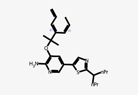 C=C/C=C(\C=C/C)C(C)(C)Oc1cc(-c2cnc(C(CCC)CCC)s2)cnc1N